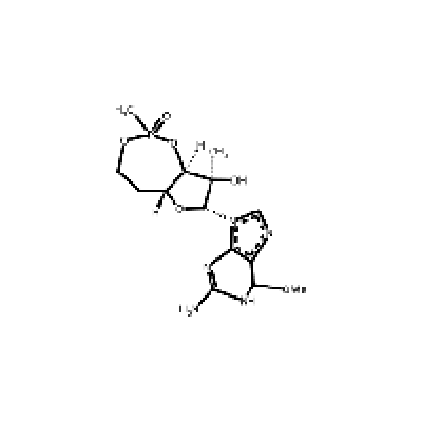 COC1NC(N)=Nc2c1ncn2[C@@H]1O[C@@H]2CCOP(C)(=O)O[C@H]2[C@@]1(C)O